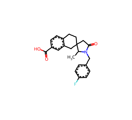 CC1N(Cc2ccc(F)cc2)C(=O)CC12CCc1ccc(C(=O)O)cc1C2